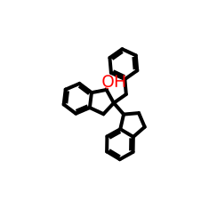 OC1c2ccccc2CC1(Cc1ccccc1)C1CCc2ccccc21